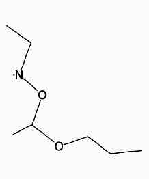 CCCOC(C)O[N]CC